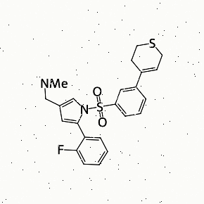 CNCc1cc(-c2ccccc2F)n(S(=O)(=O)c2cccc(C3=CCSCC3)c2)c1